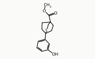 COC(=O)C12CCC(c3cccc(O)c3)(CC1)CC2